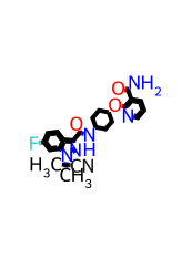 CC(C)(C#N)n1nc(C(=O)NC2CCC(Oc3ncccc3C(N)=O)CC2)c2ccc(F)cc21